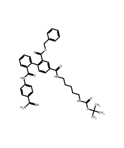 CC(C)(C)OC(=O)NCCCCCNC(=O)c1ccc(-c2ccccc2C(=O)Nc2ccc(C(=N)N)cc2)c(C(=O)OCc2ccccc2)c1